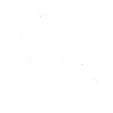 CNC(=O)c1cc2c(CN3CC[C@@H]4C(=O)NC[C@H]4C3)cn(Cc3ccc(F)cc3F)c2c(O)n1